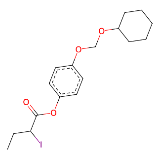 CCC(I)C(=O)Oc1ccc(OCOC2CCCCC2)cc1